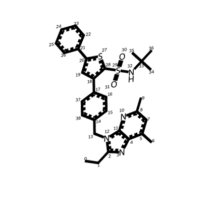 CCc1nc2c(C)cc(C)nc2n1Cc1ccc(-c2cc(-c3ccccc3)sc2S(=O)(=O)NC(C)(C)C)cc1